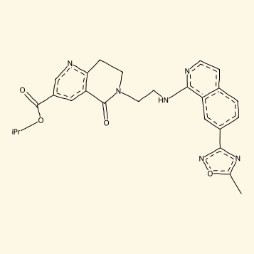 Cc1nc(-c2ccc3ccnc(NCCN4CCc5ncc(C(=O)OC(C)C)cc5C4=O)c3c2)no1